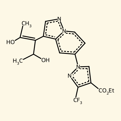 CCOC(=O)c1cn(-c2ccn3ncc(/C(=C(\C)O)C(C)O)c3c2)nc1C(F)(F)F